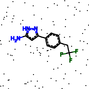 Nc1cc(-c2ccc(CC(F)(F)F)cc2)n[nH]1